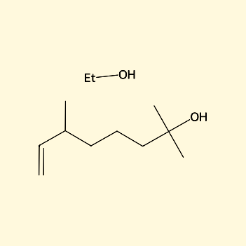 C=CC(C)CCCC(C)(C)O.CCO